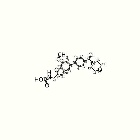 COc1cc(-c2ccc(C(=O)N3CCOCC3)cc2)cc2cc(CNC(=O)O)oc12